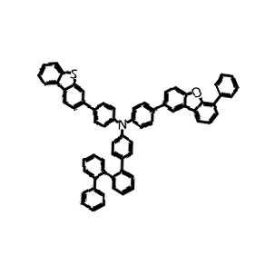 c1ccc(-c2ccccc2-c2ccccc2-c2ccc(N(c3ccc(-c4ccc5c(c4)sc4ccccc45)cc3)c3ccc(-c4ccc5oc6c(-c7ccccc7)cccc6c5c4)cc3)cc2)cc1